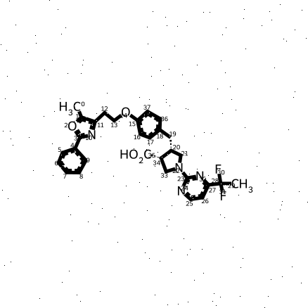 Cc1oc(-c2ccccc2)nc1CCOc1ccc(C[C@@H]2CN(c3nccc(C(C)(F)F)n3)C[C@@H]2C(=O)O)cc1